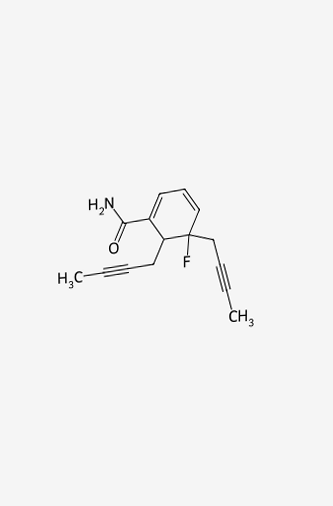 CC#CCC1C(C(N)=O)=CC=CC1(F)CC#CC